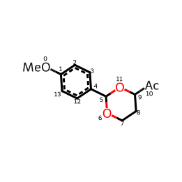 COc1ccc(C2OCCC(C(C)=O)O2)cc1